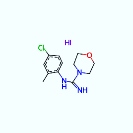 Cc1cc(Cl)ccc1NC(=N)N1CCOCC1.I